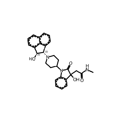 CNC(=O)CC1(O)C(=O)N(C2CCN([C@H]3c4cccc5cccc(c45)[C@@H]3O)CC2)c2ccccc21